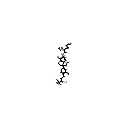 CCC(CC)(c1ccc(CCC(O)C(C)(C)C)c(C)c1)c1ccc(OC[C@H](N)CCO)c(C)c1